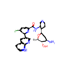 CC(C)[C@H]1O[C@@H](c2ccncc2NC(=O)c2ccc(F)c(-c3cnc4[nH]ccc4c3)n2)C[C@@H](N)[C@@H]1O